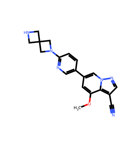 COc1cc(-c2ccc(N3CC4(CNC4)C3)nc2)cn2ncc(C#N)c12